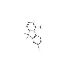 CC1(C)c2cc(I)ccc2C2C(I)=CC=CC21